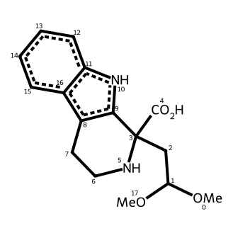 COC(CC1(C(=O)O)NCCc2c1[nH]c1ccccc21)OC